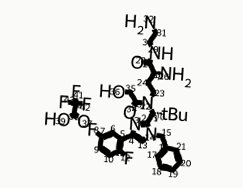 CC(C)(C)[C@H](c1nc(-c2cc(F)ccc2F)cn1Cc1ccccc1)N(CC[C@H](N)C(=O)NCCN)C(=O)CO.O=C(O)C(F)(F)F